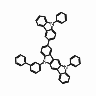 c1ccc(-c2cccc(-n3c4ccc(-c5ccc6c(c5)c5ccccc5n6-c5ccccc5)cc4c4cc5c(cc43)c3ccccc3n5-c3ccccc3)c2)cc1